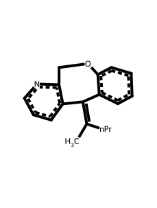 CCC/C(C)=C1\c2ccccc2OCc2ncccc21